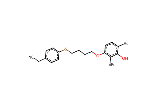 CCCc1c(OCCCCSc2ccc(CC#N)cc2)ccc(C(C)=O)c1O